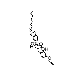 C#CCOc1ccc(C[C@@H](NS(=O)(=O)c2ccc3nc(SCCCCCCC)sc3c2)C(=O)O)cc1